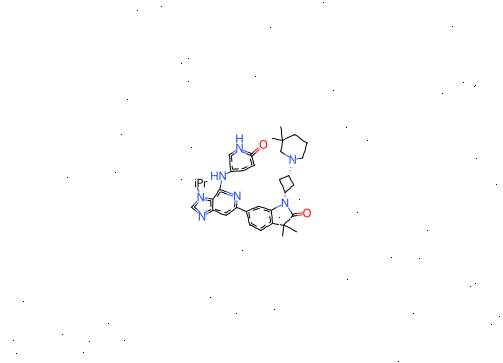 CC(C)n1cnc2cc(-c3ccc4c(c3)N([C@H]3C[C@@H](N5CCCC(C)(C)C5)C3)C(=O)C4(C)C)nc(Nc3ccc(=O)[nH]c3)c21